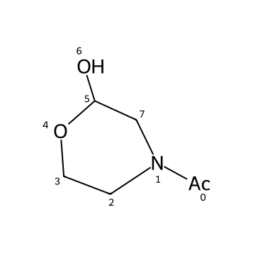 CC(=O)N1CCOC(O)C1